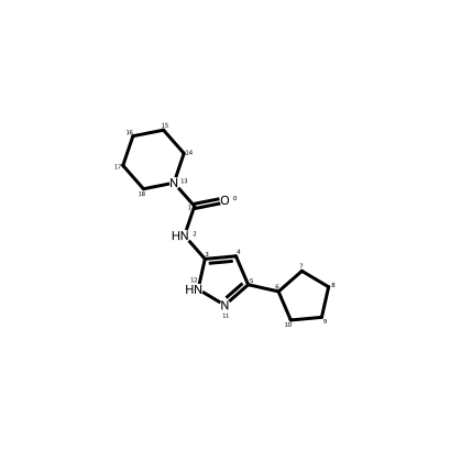 O=C(Nc1cc(C2CCCC2)n[nH]1)N1CCCCC1